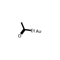 CCC(C)=O.[Au]